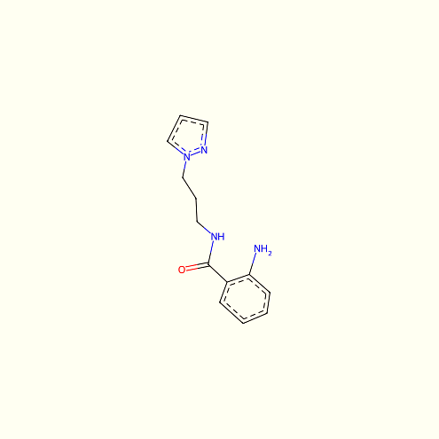 Nc1ccccc1C(=O)NCCCn1cccn1